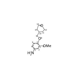 COc1cc(N)ccc1OCC1CCOCC1